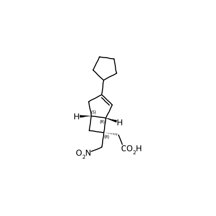 O=C(O)C[C@]1(C[N+](=O)[O-])C[C@@H]2CC(C3CCCC3)=C[C@@H]21